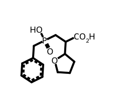 O=C(O)C(CP(=O)(O)Cc1ccccc1)C1CCCO1